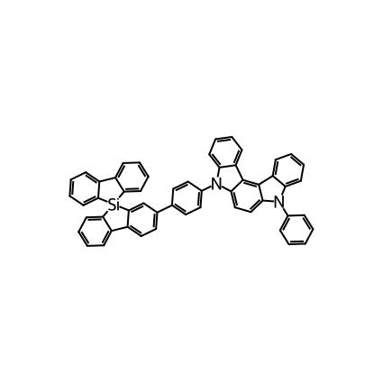 c1ccc(-n2c3ccccc3c3c4c5ccccc5n(-c5ccc(-c6ccc7c(c6)[Si]6(c8ccccc8-c8ccccc86)c6ccccc6-7)cc5)c4ccc32)cc1